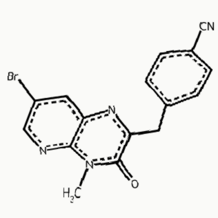 Cn1c(=O)c(Cc2ccc(C#N)cc2)nc2cc(Br)cnc21